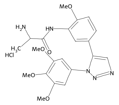 COc1ccc(-c2cnnn2-c2cc(OC)c(OC)c(OC)c2)cc1NC(=O)C(C)N.Cl